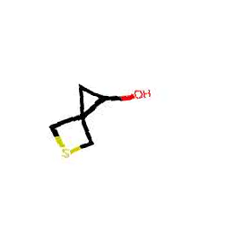 OC1CC12CSC2